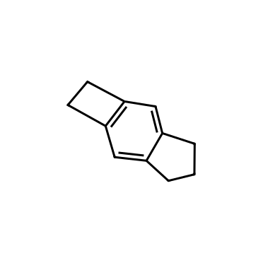 c1c2c(cc3c1CC3)CCC2